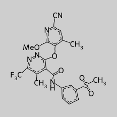 COc1nc(C#N)cc(C)c1Oc1nnc(C(F)(F)F)c(C)c1C(=O)Nc1cccc(S(C)(=O)=O)c1